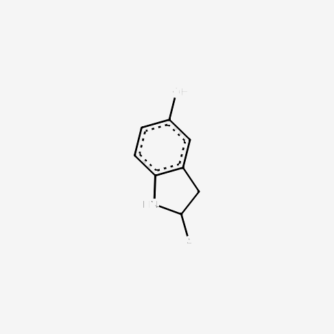 CC(=O)C1Cc2cc(O)ccc2N1